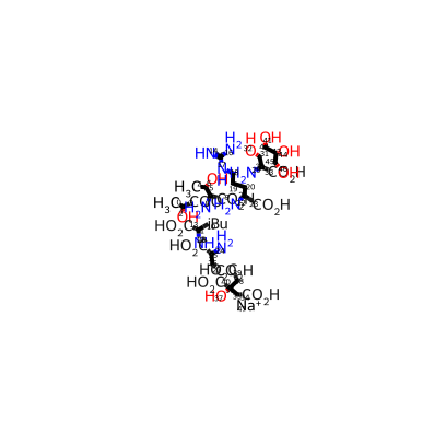 CC(O)C(=O)[O-].CC(O)C(N)C(=O)O.CCC(C)C(N)C(=O)O.N=C(N)NCCCC(N)C(=O)O.NC(CC(=O)O)C(=O)O.NC(CO)C(=O)O.O=C(O)CC(O)(CC(=O)O)C(=O)O.OCC(O)CO.[Na+]